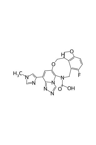 Cn1cnc(-c2cc3c(n4cnnc24)N(C(=O)O)Cc2c(F)ccc4c2[C@@H](CO4)CO3)c1